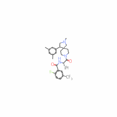 Cc1cc(C)cc(C2CN(C)CC23CCN(C(=O)[C@H](NC(=O)c2cc(C(F)(F)F)ccc2F)C(C)C)CC3)c1